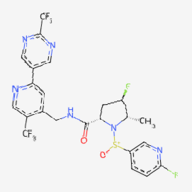 C[C@H]1[C@H](F)C[C@@H](C(=O)NCc2cc(-c3cnc(C(F)(F)F)nc3)ncc2C(F)(F)F)N1[S+]([O-])c1ccc(F)nc1